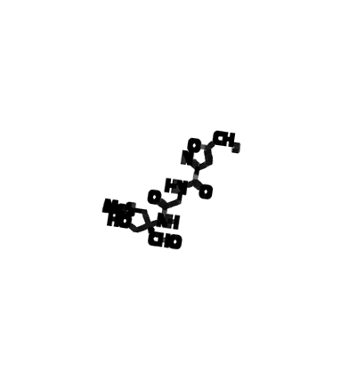 CSC[C@@](C=O)(CO)NC(=O)CNC(=O)c1cc(C)on1